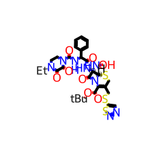 CCN1CCN(C(=O)NC(C(=O)N[C@]2(NO)C(=O)N3C(C(=O)OC(C)(C)C)=C(CSc4cnns4)CS[C@H]32)c2ccccc2)C(=O)C1=O